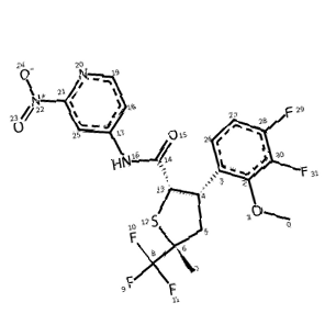 COc1c([C@@H]2C[C@](C)(C(F)(F)F)S[C@@H]2C(=O)Nc2ccnc([N+](=O)[O-])c2)ccc(F)c1F